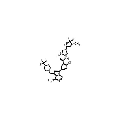 CC(CC(=O)N1C[C@H](F)[C@H](NC(=O)c2cc(-c3cc(CN4CCC(C(F)(F)F)CC4)c4c(N)ncnn34)ccc2Cl)C1)C(F)(F)F